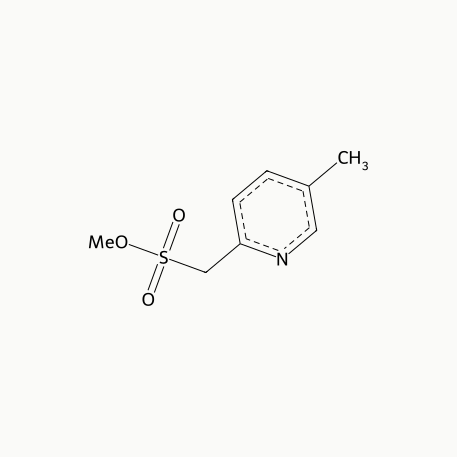 COS(=O)(=O)Cc1ccc(C)cn1